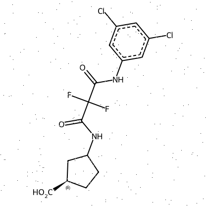 O=C(O)[C@@H]1CCC(NC(=O)C(F)(F)C(=O)Nc2cc(Cl)cc(Cl)c2)C1